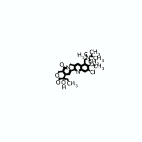 CC[C@@]1(O)C(=O)OCc2c1cc1n(c2=O)Cc2cc3c(C[N+](C)(C)C(C)C)c(OC)c(Cl)cc3nc2-1